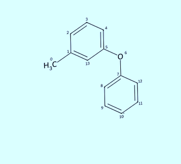 Cc1cccc(Oc2cc[c]cc2)c1